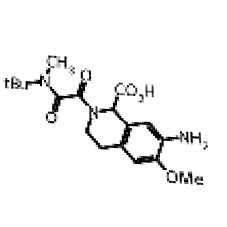 COc1cc2c(cc1N)C(C(=O)O)N(C(=O)C(=O)N(C)C(C)(C)C)CC2